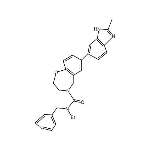 CCN(Cc1ccncc1)C(=O)N1CCOc2ccc(-c3ccc4nc(C)[nH]c4c3)cc2C1